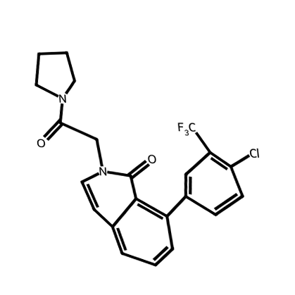 O=C(Cn1ccc2cccc(-c3ccc(Cl)c(C(F)(F)F)c3)c2c1=O)N1CCCC1